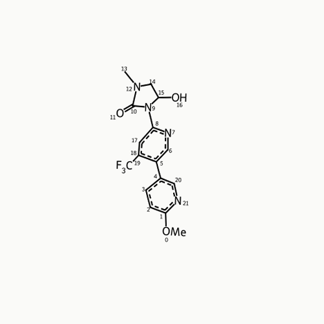 COc1ccc(-c2cnc(N3C(=O)N(C)CC3O)cc2C(F)(F)F)cn1